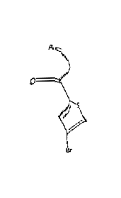 CC(=O)CC(=O)c1cc(Br)cs1